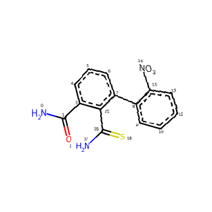 NC(=O)c1cccc(-c2ccccc2[N+](=O)[O-])c1C(N)=S